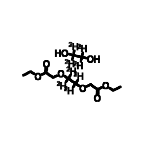 [2H]C([2H])(O)C([2H])([2H])O.[2H]C([2H])(OCC(=O)OCC)C([2H])([2H])OCC(=O)OCC